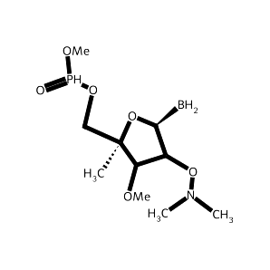 B[C@@H]1O[C@](C)(CO[PH](=O)OC)C(OC)C1ON(C)C